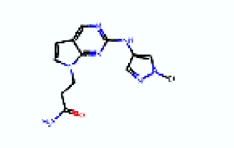 CCn1cc(Nc2ncc3ccn(CCC(N)=O)c3n2)cn1